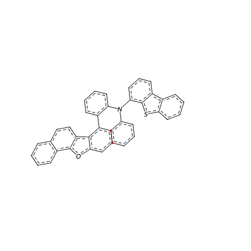 c1ccc(N(c2ccccc2-c2cccc3oc4c5ccccc5ccc4c23)c2cccc3c2sc2ccccc23)cc1